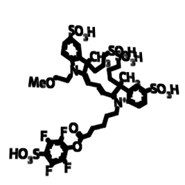 COCCN1/C(=C/C=C/C2=[N+](CCCCCC(=O)Oc3c(F)c(F)c(S(=O)(=O)O)c(F)c3F)c3ccc(S(=O)(=O)O)cc3C2(C)CCCS(=O)(=O)O)C(C)(CCCS(=O)(=O)O)c2cc(S(=O)(=O)O)ccc21